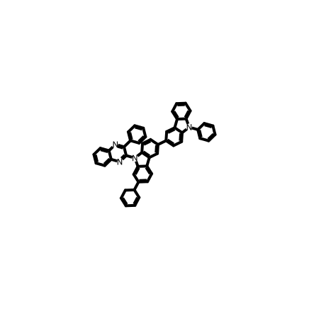 C1=CCC(c2ccc3c4cc(-c5ccc6c(c5)c5ccccc5n6-c5ccccc5)ccc4n(-c4nc5ccccc5nc4-c4ccccc4)c3c2)C=C1